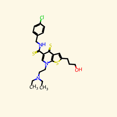 CCN(CC)CCn1cc(C(=S)NCc2ccc(Cl)cc2)c(=S)c2cc(CCCO)sc21